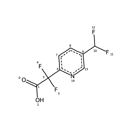 O=C(O)C(F)(F)c1ccc(C(F)F)cn1